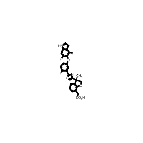 C[C@@]1(c2coc(-c3cc(Oc4c(F)cc5[nH]ccc5c4F)ccc3F)n2)COc2c(CC(=O)O)cccc21